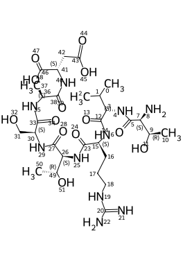 CC(C)[C@H](NC(=O)[C@@H](N)[C@@H](C)O)C(=O)N[C@@H](CCCNC(=N)N)C(=O)N[C@H](C(=O)N[C@@H](CO)C(=O)N[C@@H](C)C(=O)N[C@@H](CC(=O)O)C(=O)O)[C@@H](C)O